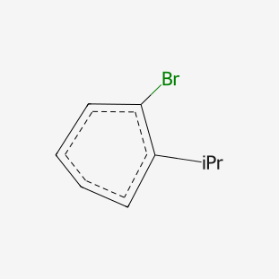 [CH2]C(C)c1ccccc1Br